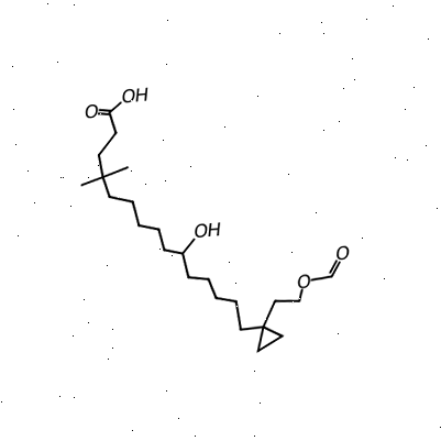 CC(C)(CCCCCC(O)CCCCCC1(CCOC=O)CC1)CCC(=O)O